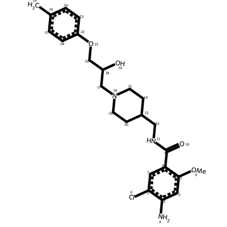 COc1cc(N)c(Cl)cc1C(=O)NCC1CCN(CC(O)COc2ccc(C)cc2)CC1